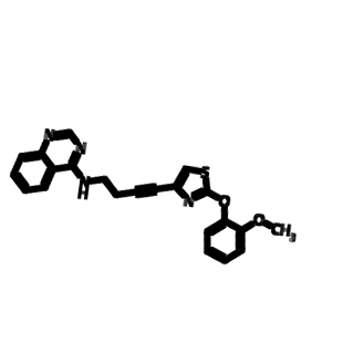 COc1ccccc1Oc1nc(C#CCCNc2ncnc3ccccc23)cs1